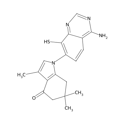 Cc1cn(-c2ccc3c(N)ncnc3c2S)c2c1C(=O)CC(C)(C)C2